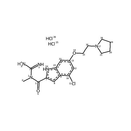 CN(C(=N)N)C(=O)c1cc2c(Cl)cc(OCCN3CCCC3)cc2[nH]1.Cl.Cl